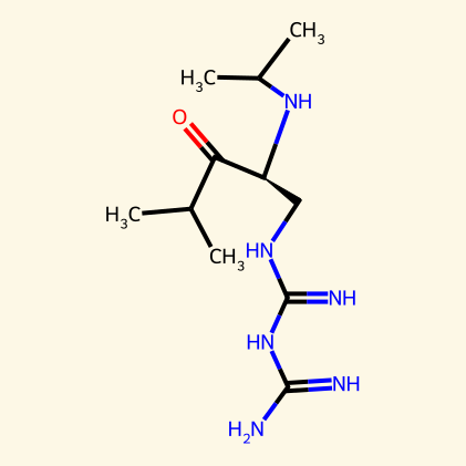 CC(C)N[C@@H](CNC(=N)NC(=N)N)C(=O)C(C)C